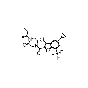 C=C(CC)N1CCN(C(=O)c2oc3c(C(F)(F)F)cc(C4CC4)cc3c2Cl)CC1=O